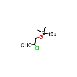 CC(C)(C)[Si](C)(C)OCC(Cl)C=O